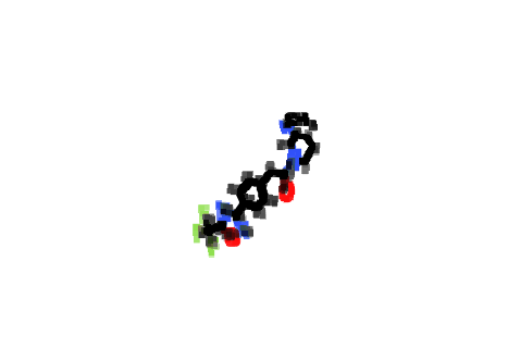 C/N=C1\CCCN(C(=O)Cc2ccc(-c3noc(C(F)(F)F)n3)cc2)C1